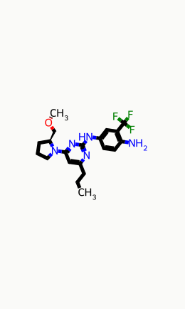 CCCc1cc(N2CCC[C@H]2COC)nc(Nc2ccc(N)c(C(F)(F)F)c2)n1